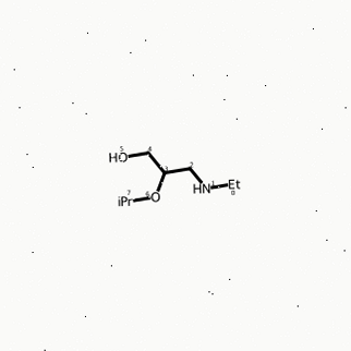 CCNCC(CO)OC(C)C